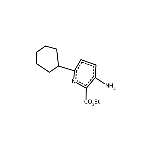 CCOC(=O)c1nc(C2CCCCC2)ccc1N